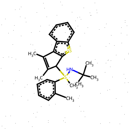 CC1=C(C)C(S(C)(NC(C)(C)C)c2ccccc2C)c2sc3ccccc3c21